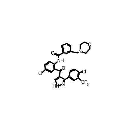 O=C(Nc1ccc(Cl)cc1C(=O)c1c[nH]nc1-c1ccc(Cl)c(C(F)(F)F)c1)c1cccc(CN2CCOCC2)c1